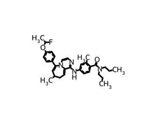 CCCN(CCC)C(=O)c1ccc(NC2=NC=CN3C2=CCC(C)C=C3c2ccc(OC(C)F)cc2)cc1C